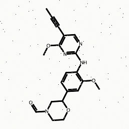 CC#Cc1cnc(Nc2ccc(C3CN(C=O)CCO3)cc2OC)nc1OC